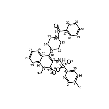 Cc1ccc(S(=O)(=O)Nc2c(N3CCN(C(=O)c4ccccc4)CC3)c3ccccc3n(C)c2=O)cc1